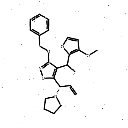 C=C[C@@H](c1onc(OCc2ccccc2)c1C(C)c1occc1OC)N1CCCC1